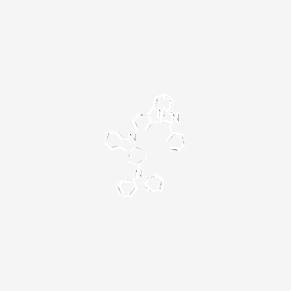 c1ccc(-c2nc3cccc4c5ccc(-n6c7ccccc7c7cc(-n8c9ccccc9c9ccccc98)ccc76)cc5c2n34)cc1